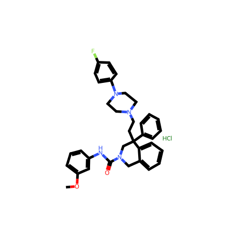 COc1cccc(NC(=O)N2Cc3ccccc3C(CCN3CCN(c4ccc(F)cc4)CC3)(c3ccccc3)C2)c1.Cl